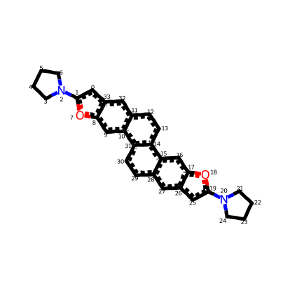 c1c(N2CCCC2)oc2cc3c(ccc4c5cc6oc(N7CCCC7)cc6cc5ccc34)cc12